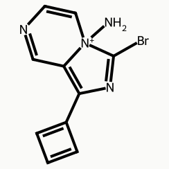 N[N+]12C=CN=CC1=C(C1=CC=C1)N=C2Br